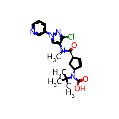 CN(C(=O)[C@H]1C=C[C@@H](N(C(=O)O)C(C)(C)C)C1)c1cn(-c2cccnc2)nc1Cl